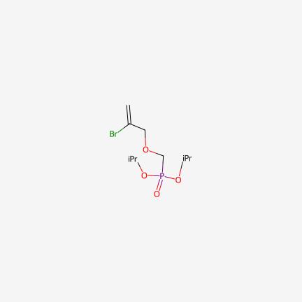 C=C(Br)COCP(=O)(OC(C)C)OC(C)C